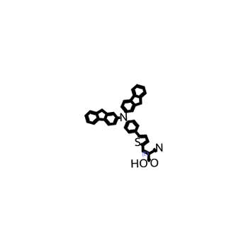 N#C/C(=C\c1ccc(-c2ccc(N(c3ccc4c(c3)Cc3ccccc3-4)c3ccc4c(c3)Cc3ccccc3-4)cc2)s1)C(=O)O